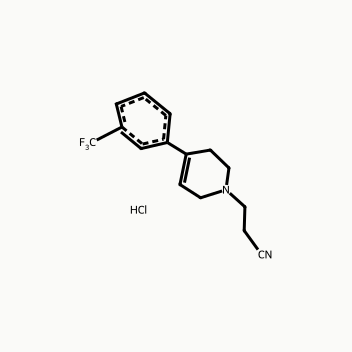 Cl.N#CCCN1CC=C(c2cccc(C(F)(F)F)c2)CC1